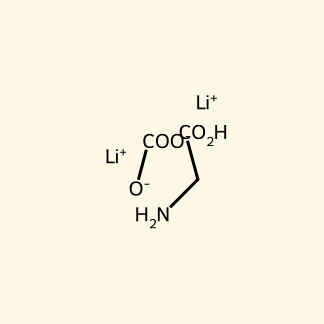 NCC(=O)O.O=C([O-])[O-].[Li+].[Li+]